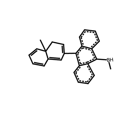 CBc1c2ccccc2c(C2=CCC3(C)C=CC=CC3=C2)c2ccccc12